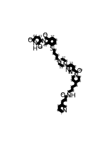 O=C(/C=C/c1cccnc1)NCCCCC1CCN(C(=O)c2ccc(N3CCN(CCCCSc4cccc5c4CN(C4CCC(=O)NC4=O)C5=O)CC3)nn2)CC1